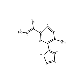 CCC(=NO)c1ccc(C)c(-c2nccs2)c1